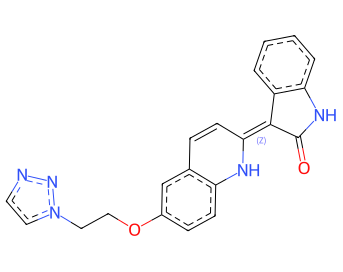 O=C1Nc2ccccc2/C1=C1\C=Cc2cc(OCCn3ccnn3)ccc2N1